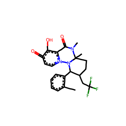 Cc1ccccc1C1C(CC(F)(F)F)CCC2(C)N(C)C(=O)c3c(O)c(=O)ccn3N12